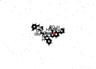 Cc1cccc(CN2CCN([C@H](C(=O)N[C@@H](Cc3ccccc3)[C@@H](O)C[C@@H](Cc3ccc(-c4ccccn4)cc3)NC(=O)[C@@H](NC(=O)O)C(C)(C)C)C(C)(C)C)C2=O)c1